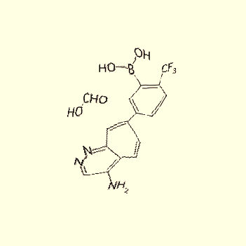 Nc1cnnc2cc(-c3ccc(C(F)(F)F)c(B(O)O)c3)ccc12.O=CO